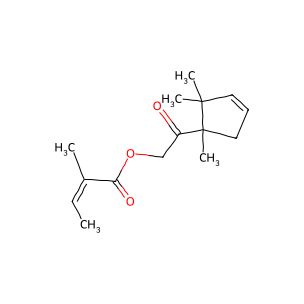 C/C=C(/C)C(=O)OCC(=O)C1(C)CC=CC1(C)C